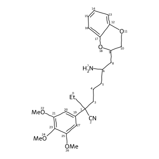 CCC(C#N)(CCCC(N)CC1COc2ccccc2O1)c1cc(OC)c(OC)c(OC)c1